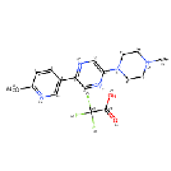 COc1ccc(-c2cnc(N3CCN(C(C)C)CC3)cn2)cn1.O=C(O)C(F)(F)F